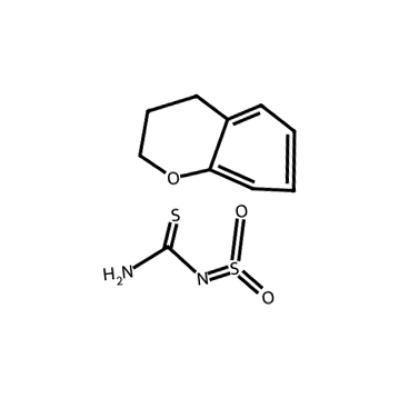 NC(=S)N=S(=O)=O.c1ccc2c(c1)CCCO2